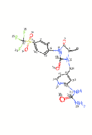 CC1C(=O)N(c2ccc(S(=O)(=O)C(F)(F)F)cc2)C(=O)N1Cc1ccnc(NC(N)=O)c1